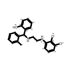 Cc1ccccc1C(NCCNc1cccc(Cl)c1Cl)c1ccccc1O